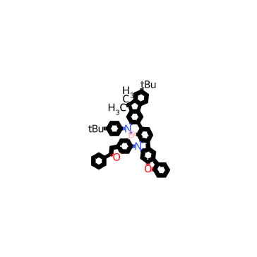 CC(C)(C)c1ccc(N2B3c4cc5cc(-c6ccccc6)oc5cc4-n4c5cc6oc7ccccc7c6cc5c5ccc(c3c54)-c3cc4c(cc32)C(C)(C)c2cc(C(C)(C)C)ccc2-4)cc1